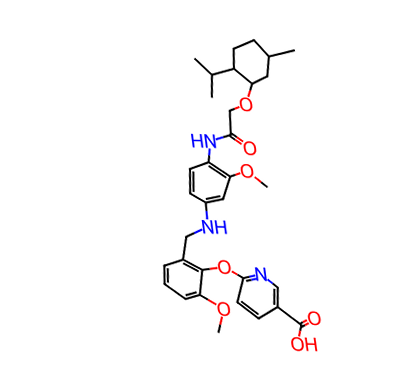 COc1cc(NCc2cccc(OC)c2Oc2ccc(C(=O)O)cn2)ccc1NC(=O)COC1CC(C)CCC1C(C)C